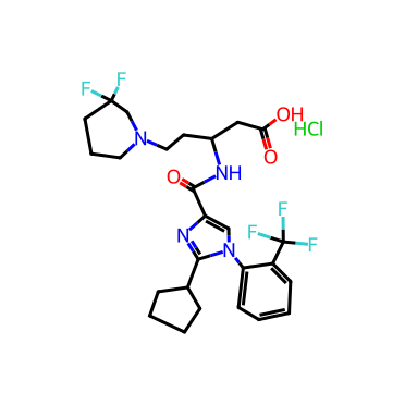 Cl.O=C(O)CC(CCN1CCCC(F)(F)C1)NC(=O)c1cn(-c2ccccc2C(F)(F)F)c(C2CCCC2)n1